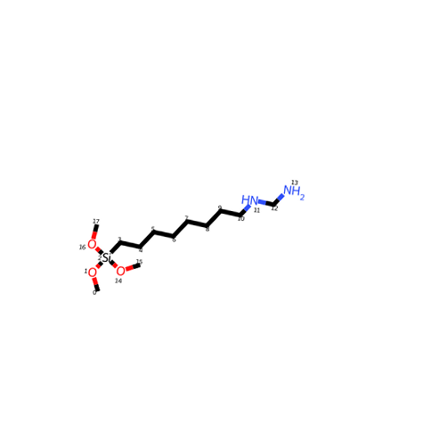 CO[Si](CCCCCCCCNCN)(OC)OC